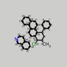 CC1CC(c2ccccc2)c2c(ccc3c2ccc2ccccc23)C1Cl.c1ccc2cnccc2c1